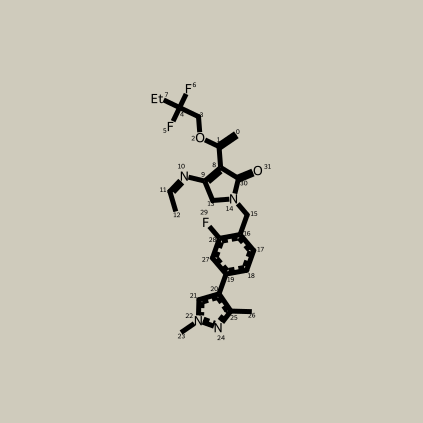 C=C(OCC(F)(F)CC)C1=C(/N=C\C)CN(Cc2ccc(-c3cn(C)nc3C)cc2F)C1=O